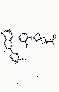 CC(=O)N1CC2(C1)CN(c1ccc(-c3ncnc4ccc(-c5ccnc(N)c5)cc34)cc1F)C2